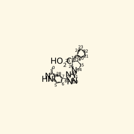 Cc1n[nH]c2ccc(-c3nncc(N4CCCC(Cc5ccccc5)(C(=O)O)C4)n3)cc12